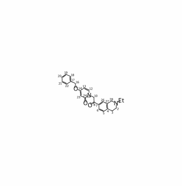 CCN1CCc2ccc(C(=O)Cn3ccc(OCc4ccccc4)cc3=O)cc2C1